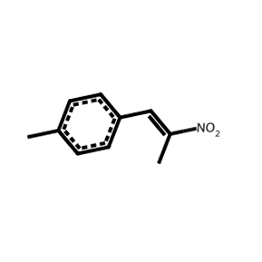 CC(=Cc1ccc(C)cc1)[N+](=O)[O-]